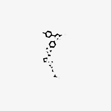 Cc1ccc(-c2cc(C(F)(F)F)nn2-c2ccc(S(=O)(=O)NC(=O)[C@@H]3CCN3[N+]([O-])=NOCOC(=O)C(C)(C)C)cc2)cc1